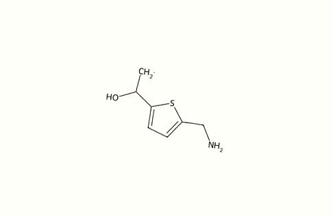 [CH2]C(O)c1ccc(CN)s1